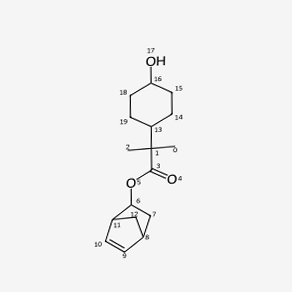 CC(C)(C(=O)OC1CC2C=CC1C2)C1CCC(O)CC1